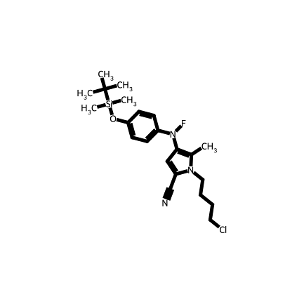 Cc1c(N(F)c2ccc(O[Si](C)(C)C(C)(C)C)cc2)cc(C#N)n1CCCCCl